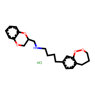 Cl.c1ccc2c(c1)OCC(CNCCCCc1ccc3c(c1)OOCCC3)O2